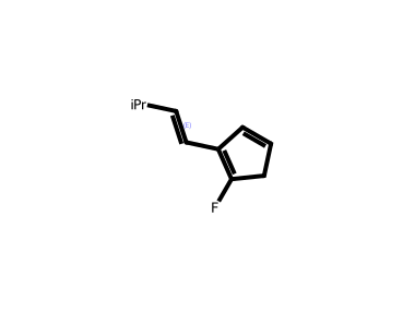 CC(C)/C=C/C1=C(F)CC=C1